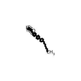 CCCCCCCCCC1CCC(c2ccc(-c3ccc(OC(=O)C(F)(F)C(F)(F)C(F)(F)F)cc3)cc2)CC1